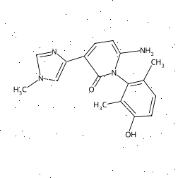 Cc1ccc(O)c(C)c1-n1c(N)ccc(-c2cn(C)cn2)c1=O